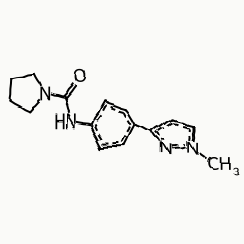 Cn1ccc(-c2ccc(NC(=O)N3CCCC3)cc2)n1